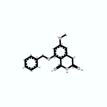 COc1cc2c(c(OCc3ccccc3)c1)C(=O)OC(=O)C2